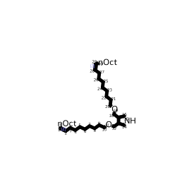 CCCCCCCC/C=C\CCCCCCCCOCC1CNCC1COCCCCCCCC/C=C\CCCCCCCC